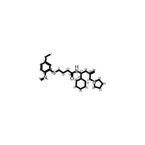 C=Nc1ccc(CC)cc1SCCCC(=O)NC(CC(=C)CN1CCCC1)C1CCCCC1